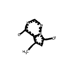 Cc1cc(Cl)n2ncnc(Cl)c12